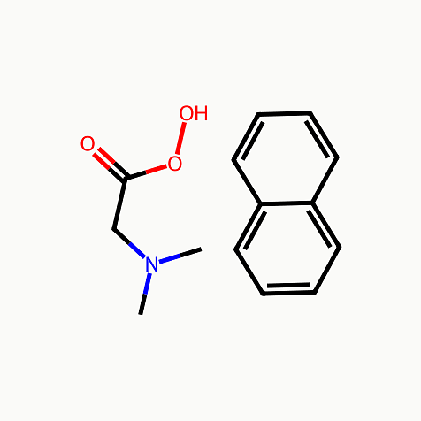 CN(C)CC(=O)OO.c1ccc2ccccc2c1